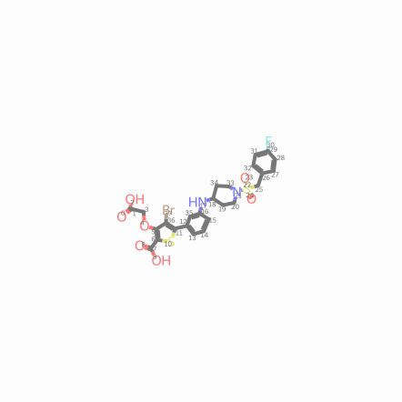 O=C(O)COc1c(C(=O)O)sc(-c2cccc(NC3CCN(S(=O)(=O)Cc4ccc(F)cc4)CC3)c2)c1Br